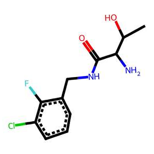 CC(O)C(N)C(=O)NCc1cccc(Cl)c1F